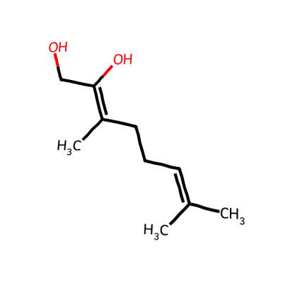 CC(C)=CCC/C(C)=C(\O)CO